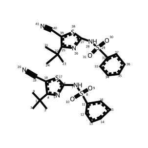 CC(C)(C)c1nc(NS(=O)(=O)c2ccccc2)sc1C#N.CC(C)(C)c1nc(NS(=O)(=O)c2ccccc2)sc1C#N